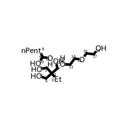 CCC(CO)(CO)CO.CCCCCC(O)O.OCCOCCO